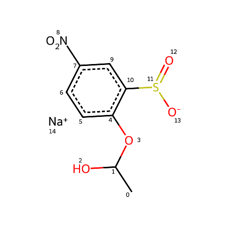 CC(O)Oc1ccc([N+](=O)[O-])cc1S(=O)[O-].[Na+]